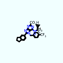 C[C@@H](Nc1nc(C(=O)O)nc2nc(-c3ccc4c(c3)CCC4)n(CC3=CC=C(C(F)(F)F)CC3)c12)C1CC1